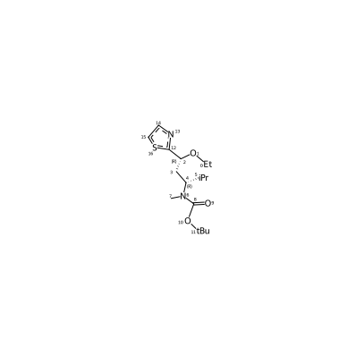 CCO[C@H](C[C@H](C(C)C)N(C)C(=O)OC(C)(C)C)c1nccs1